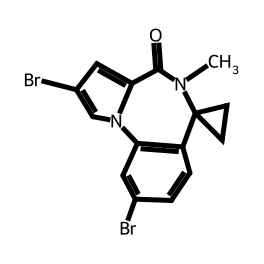 CN1C(=O)c2cc(Br)cn2-c2cc(Br)ccc2C12CC2